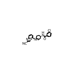 N#Cc1cn2c(N[C@H]3CC[C@@H](NC(=O)c4cccc(Cl)c4)CC3)cccc2n1